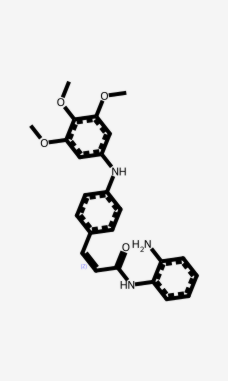 COc1cc(Nc2ccc(/C=C\C(=O)Nc3ccccc3N)cc2)cc(OC)c1OC